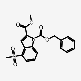 COC(=O)c1cc2c(S(C)(=O)=O)cccc2n1C(=O)OCc1ccccc1